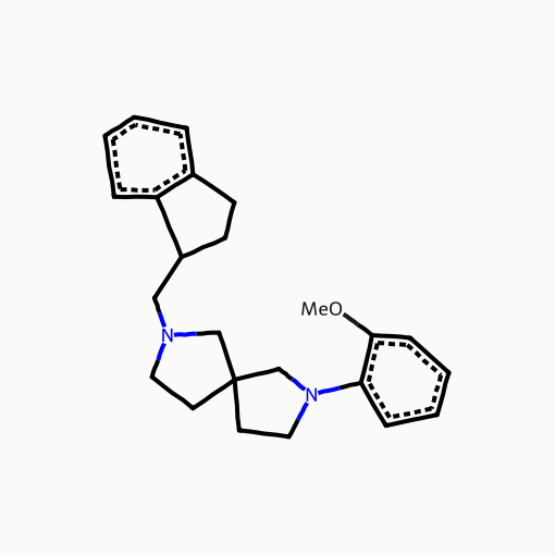 COc1ccccc1N1CCC2(CCN(CC3CCc4ccccc43)C2)C1